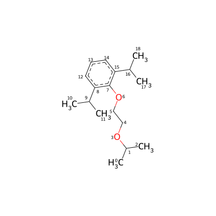 CC(C)OCCOc1c(C(C)C)cccc1C(C)C